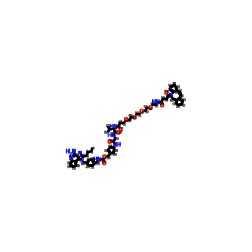 CCCCc1nc2c(N)nc3ccccc3c2n1Cc1ccc(CNC(=O)OCc2ccc(NC(=O)CNC(=O)C(NC(=O)CCOCCOCCOCCOCCNC(=O)CCC(=O)N3Cc4ccccc4C#Cc4ccccc43)C(C)C)cc2)cc1